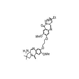 C=C(CC)C[C@@]1(N)C=Nc2cc(OCCCOc3cc4c(cc3OC)C(=C)N3CC(C)(C)C[C@@]3(N)C=N4)c(OC)cc2C(=O)N1